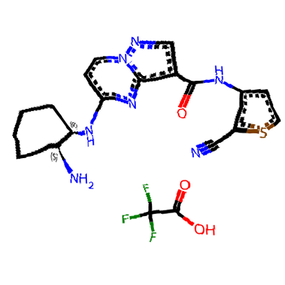 N#Cc1sccc1NC(=O)c1cnn2ccc(N[C@@H]3CCCC[C@@H]3N)nc12.O=C(O)C(F)(F)F